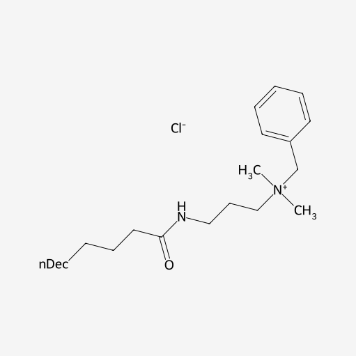 CCCCCCCCCCCCCC(=O)NCCC[N+](C)(C)Cc1ccccc1.[Cl-]